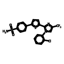 NS(=O)(=O)c1ccc(-c2ccc(-c3nc(C(F)(F)F)cn3-c3ccccc3Cl)s2)cc1